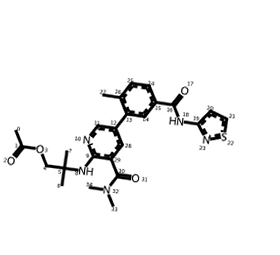 CC(=O)OCC(C)(C)Nc1ncc(-c2cc(C(=O)Nc3ccsn3)ccc2C)cc1C(=O)N(C)C